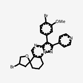 COc1cc(-c2c(-c3ccncc3)nn3c4c(cnc23)C2(CCC4)CC(Br)CO2)ccc1Br